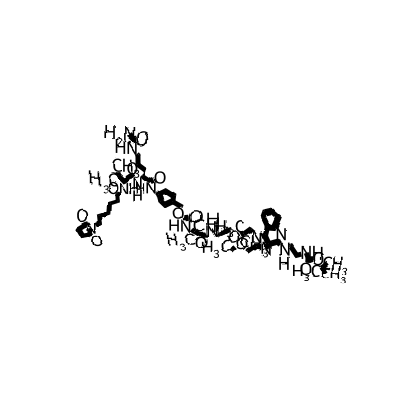 CCOCc1nc2c(NCCNC(=O)OC(C)(C)C)nc3ccccc3c2n1CC(C)(C)OCCNC(=O)C(C)(C)NC(=O)OCc1ccc(NC(=O)[C@H](CCCNC(N)=O)NC(=O)[C@@H](NC(=O)CCCCCN2C(=O)C=CC2=O)C(C)C)cc1